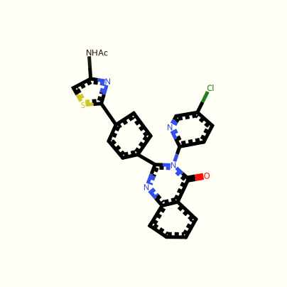 CC(=O)Nc1csc(-c2ccc(-c3nc4ccccc4c(=O)n3-c3ccc(Cl)cn3)cc2)n1